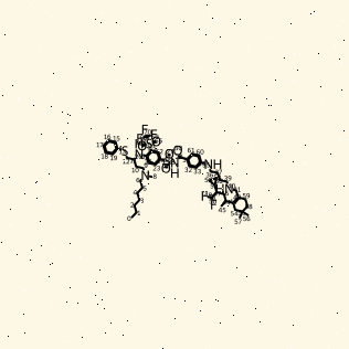 CCCCCCCN(C)CCC(CSc1ccccc1)Nc1ccc(S(=O)(=O)NC(=O)c2ccc(NCCCCNCC3=C(C(C)CC(C(F)F)C4CC4)CC(C)(C)CC3)cc2)cc1S(=O)(=O)C(F)(F)F